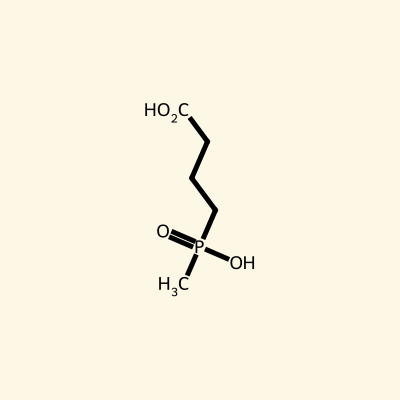 CP(=O)(O)CCCC(=O)O